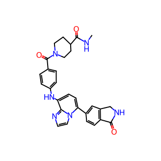 CNC(=O)C1CCN(C(=O)c2ccc(Nc3ccc(-c4ccc5c(c4)CNC5=O)n4ccnc34)cc2)CC1